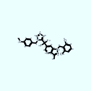 COc1ccc(Cn2nnnc2C(F)(F)c2cnc3c(C)nn(Cc4c(Cl)cccc4Cl)c3c2)cc1